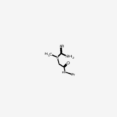 CC(C)NC(=O)CN(C)C(=N)N